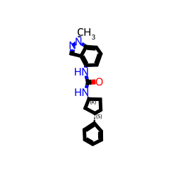 Cn1ncc2c(NC(=O)N[C@@H]3CC[C@H](c4ccccc4)C3)cccc21